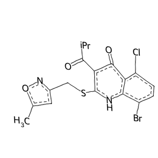 Cc1cc(CSc2[nH]c3c(Br)ccc(Cl)c3c(=O)c2C(=O)C(C)C)no1